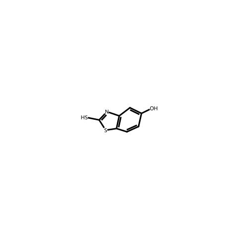 Oc1ccc2sc(S)nc2c1